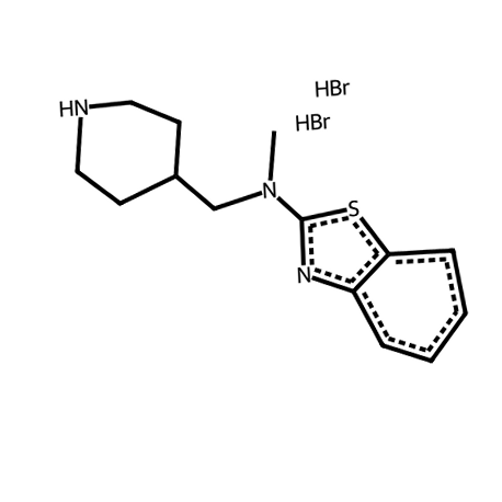 Br.Br.CN(CC1CCNCC1)c1nc2ccccc2s1